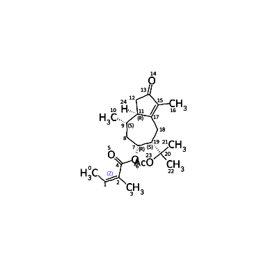 C/C=C(/C)C(=O)O[C@@H]1C[C@H](C)[C@H]2CC(=O)C(C)=C2C[C@@H]1C(C)(C)OC(C)=O